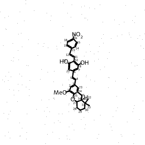 COc1cc(/C=C/c2cc(O)c(/C=C/c3ccc([N+](=O)[O-])cc3)c(O)c2)cc2c1OC1CCCC(C)(C)[C@H]1C2